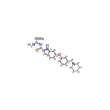 CNC(N)=NC(=O)c1cc2ccc(Oc3cccc(CN4CCCCC4)c3)cc2[nH]1